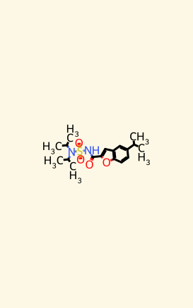 CC(C)c1ccc2oc(C(=O)NS(=O)(=O)N(C(C)C)C(C)C)cc2c1